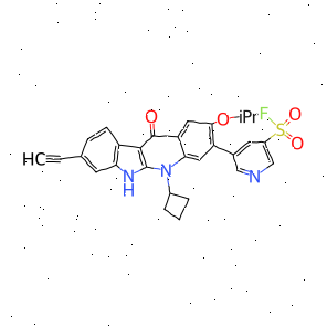 C#Cc1ccc2c(c1)[nH]c1c2c(=O)c2cc(OC(C)C)c(-c3cncc(S(=O)(=O)F)c3)cc2n1C1CCC1